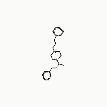 CC(SCc1ccccc1)N1CCN(CCCc2ccccc2)CC1